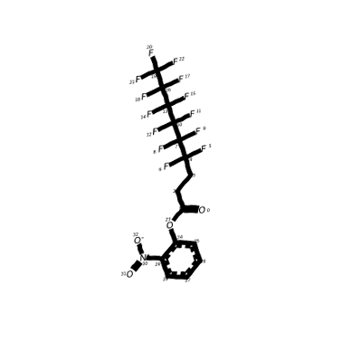 O=C(CCC(F)(F)C(F)(F)C(F)(F)C(F)(F)C(F)(F)C(F)(F)F)Oc1ccccc1[N+](=O)[O-]